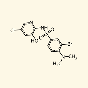 CN(C)c1ccc(S(=O)(=O)Nc2ncc(Cl)cc2O)cc1Br